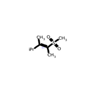 C/C(=C(/C)S(C)(=O)=O)C(C)C